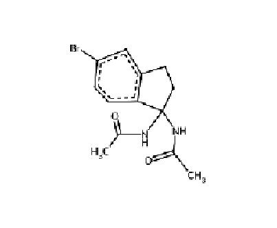 CC(=O)NC1(NC(C)=O)CCc2cc(Br)ccc21